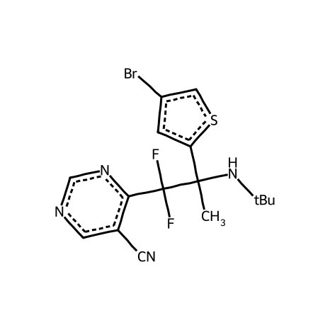 CC(C)(C)NC(C)(c1cc(Br)cs1)C(F)(F)c1ncncc1C#N